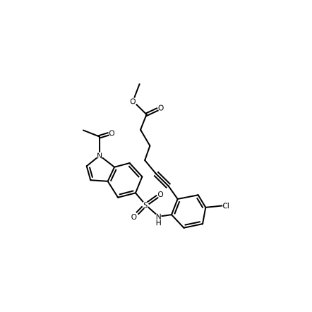 COC(=O)CCCC#Cc1cc(Cl)ccc1NS(=O)(=O)c1ccc2c(ccn2C(C)=O)c1